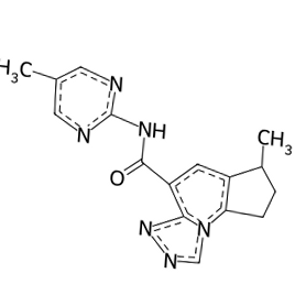 Cc1cnc(NC(=O)c2cc3c(n4cnnc24)CCC3C)nc1